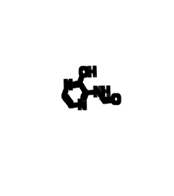 O=CNc1nccnc1O